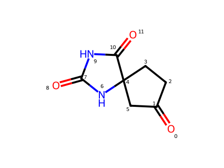 O=C1CCC2(C1)NC(=O)NC2=O